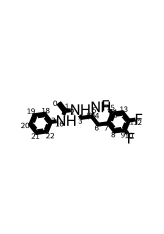 C=C(NC[C@@H](N)Cc1cc(F)c(F)cc1F)Nc1ccccc1